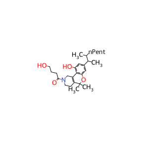 CCCCCC(C)C(C)c1cc(O)c2c(c1)OC(C)(C)C1=C2CN(C(=O)CCCO)CC1